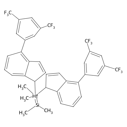 C[Si](C)=[Hf]([CH3])([CH3])([CH]1C=Cc2c(-c3cc(C(F)(F)F)cc(C(F)(F)F)c3)cccc21)[CH]1C=Cc2c(-c3cc(C(F)(F)F)cc(C(F)(F)F)c3)cccc21